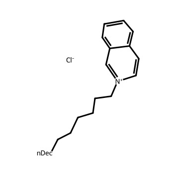 CCCCCCCCCCCCCCCC[n+]1ccc2ccccc2c1.[Cl-]